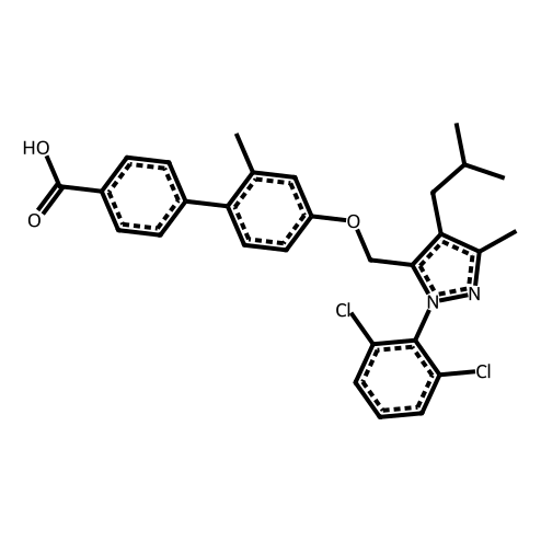 Cc1cc(OCc2c(CC(C)C)c(C)nn2-c2c(Cl)cccc2Cl)ccc1-c1ccc(C(=O)O)cc1